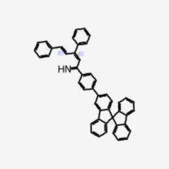 N=C(/C=C(\C=C\c1ccccc1)c1ccccc1)c1ccc(-c2ccc3c(c2)-c2ccccc2C32c3ccccc3-c3ccccc32)cc1